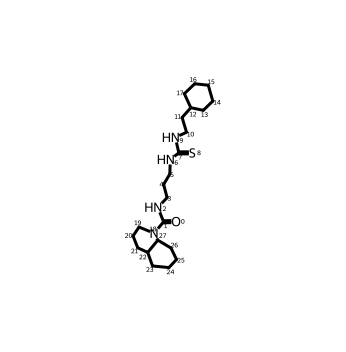 O=C(NCCCNC(=S)NCCC1CCCCC1)N1CCCC2CCCCC21